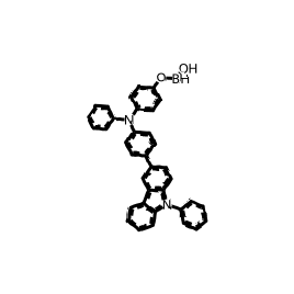 OBOc1ccc(N(c2ccccc2)c2ccc(-c3ccc4c(c3)c3ccccc3n4-c3ccccc3)cc2)cc1